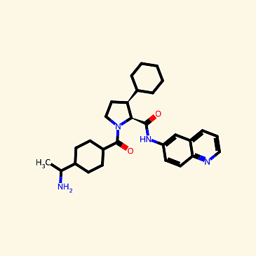 CC(N)C1CCC(C(=O)N2CC[C@@H](C3CCCCC3)[C@H]2C(=O)Nc2ccc3ncccc3c2)CC1